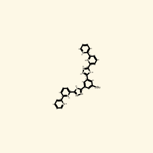 CC(C)(C)c1cc(-c2nnc(-c3cccc(-c4ccccn4)n3)s2)cc(-c2nnc(-c3cccc(-c4ccccn4)n3)s2)c1